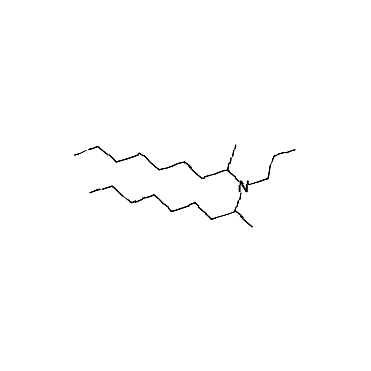 CCCCCCCC(C)N(CCC)C(C)CCCCCCC